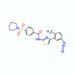 Cc1ccc(N=[N+]=[N-])cc1-c1csc(NC(=O)c2ccc(S(=O)(=O)N3CCCCC3)cc2)n1